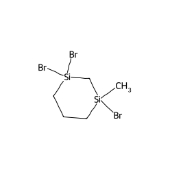 C[Si]1(Br)CCC[Si](Br)(Br)C1